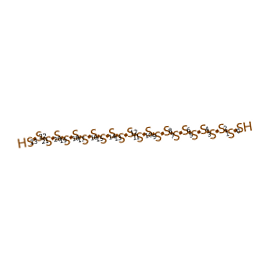 SSSSSSSSSSSSSSSSSSSSSSSS